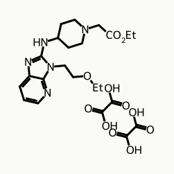 CCOCCn1c(NC2CCN(CC(=O)OCC)CC2)nc2cccnc21.O=C(O)C(=O)O.O=C(O)C(=O)O